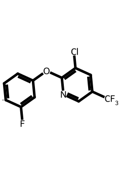 Fc1[c]ccc(Oc2ncc(C(F)(F)F)cc2Cl)c1